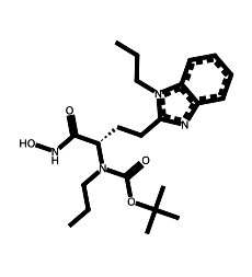 CCCN(C(=O)OC(C)(C)C)[C@@H](CCc1nc2ccccc2n1CCC)C(=O)NO